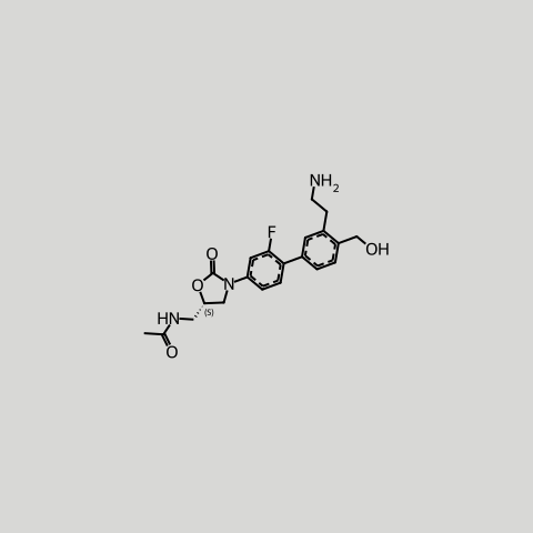 CC(=O)NC[C@H]1CN(c2ccc(-c3ccc(CO)c(CCN)c3)c(F)c2)C(=O)O1